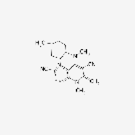 C=C1C(C#N)=C(N(C)C2CCC(C)CC2)c2nc(C#N)ccc2N1C